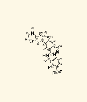 Cc1nnc(NC(C)c2cccc(C(F)F)c2F)c2cc3c(cc12)C(C)(C)C(=O)N3CC1CN(C)CCO1